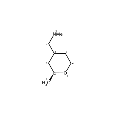 CNCC1CCO[C@@H](C)C1